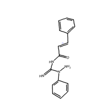 N=C(NC(=O)/C=C/c1ccccc1)N(N)c1ccccc1